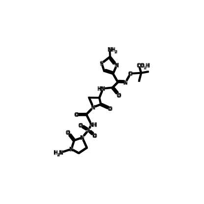 CC(C)(O/N=C(/C(=O)NC1CN(C(=O)NS(=O)(=O)N2CCN(N)C2=O)C1=O)c1csc(N)n1)C(=O)O